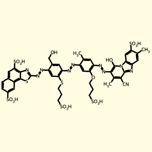 Cc1cc(N=Nc2c(C)c(C#N)c3nc4cc(C)c(S(=O)(=O)O)cc4n3c2O)c(OCCCS(=O)(=O)O)cc1N=Nc1cc(CO)c(N=Nc2nc3c(S(=O)(=O)O)cc4ccc(S(=O)(=O)O)cc4c3s2)cc1SCCCS(=O)(=O)O